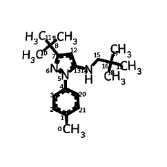 Cc1ccc(-n2nc(C(C)(C)C)cc2NCC(C)(C)C)cc1